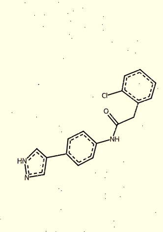 O=C(Cc1ccccc1Cl)Nc1ccc(-c2cn[nH]c2)cc1